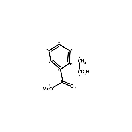 CC(=O)O.COC(=O)c1ccccc1